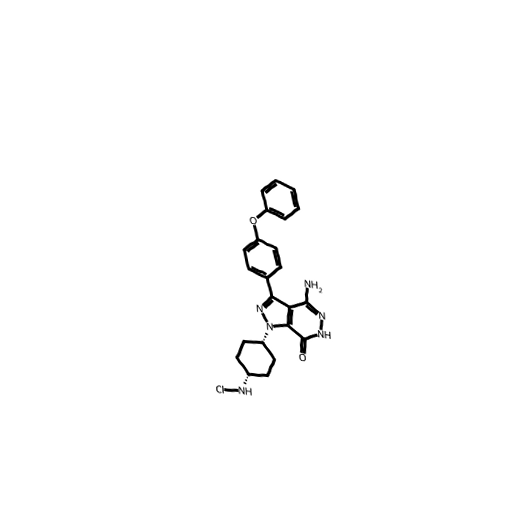 Nc1n[nH]c(=O)c2c1c(-c1ccc(Oc3ccccc3)cc1)nn2[C@H]1CC[C@@H](NCl)CC1